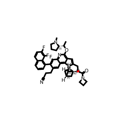 CC(Oc1nc2c(F)c(-c3cccc4ccc(F)c(F)c34)c(CCC#N)cc2c2c1cc(CCC(=O)N1CCC1)n2[C@H]1[C@H]2CN[C@@H]1C2)[C@@H]1CCCN1C